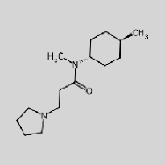 CN(C(=O)CCN1CCCC1)[C@H]1CC[C@H](C)CC1